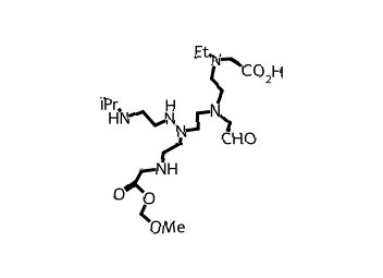 CCN(CCN(CC=O)CCN(CCNCC(=O)OCOC)NCCNC(C)C)CC(=O)O